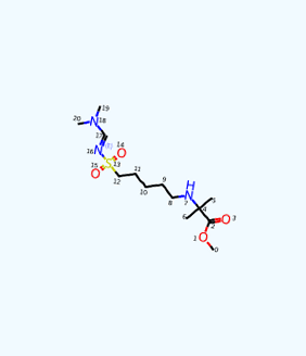 COC(=O)C(C)(C)NCCCCCS(=O)(=O)/N=C/N(C)C